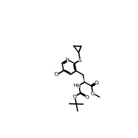 COC(=O)[C@H](Cc1cc(Cl)cnc1SC1CC1)NC(=O)OC(C)(C)C